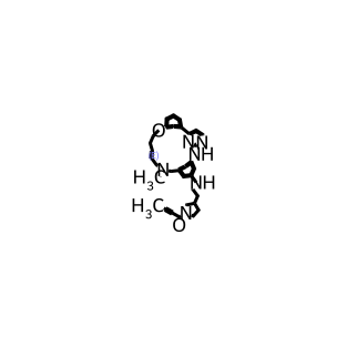 CC#CC(=O)N1CCC(CCNc2cc3cc(c2)Nc2nccc(n2)-c2cccc(c2)OCC/C=C/CN(C)C3)C1